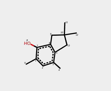 Cc1cc(C)c2c(c1O)[CH]C(C)(C)C2